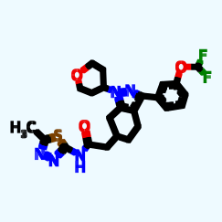 Cc1nnc(NC(=O)CC2CCc3c(-c4cccc(OC(F)F)c4)nn(C4CCOCC4)c3C2)s1